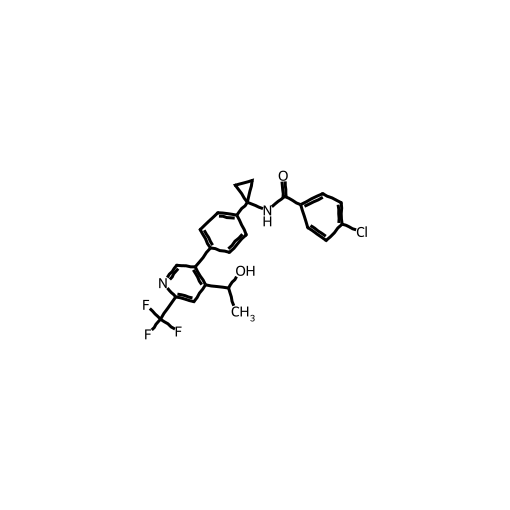 CC(O)c1cc(C(F)(F)F)ncc1-c1ccc(C2(NC(=O)c3ccc(Cl)cc3)CC2)cc1